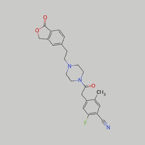 Cc1cc(C#N)c(F)cc1CC(=O)N1CCN(CCc2ccc3c(c2)COC3=O)CC1